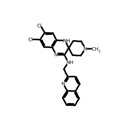 CN1CCC2(CC1)Nc1cc(Cl)c(Cl)cc1N=C2NCc1ccc2ccccc2n1